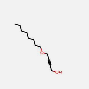 CCCCCCCCOCC#CCO